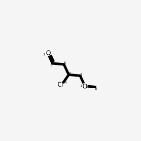 COCC(Cl)CC=O